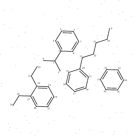 CC(C)c1ccccc1.CCCCCc1ccccc1.CCc1ccccc1CC.c1ccccc1